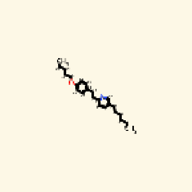 CCCCCCc1ccc(CCc2ccc(OCCCCC)cc2)nc1